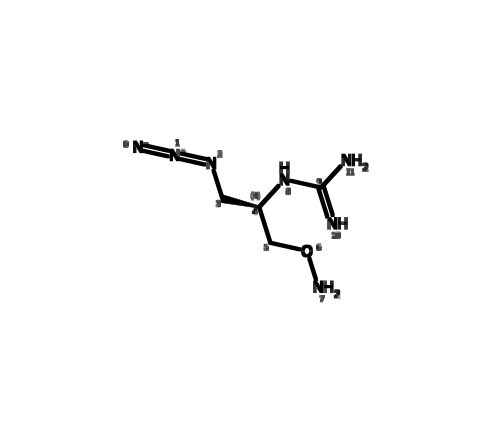 [N-]=[N+]=NC[C@H](CON)NC(=N)N